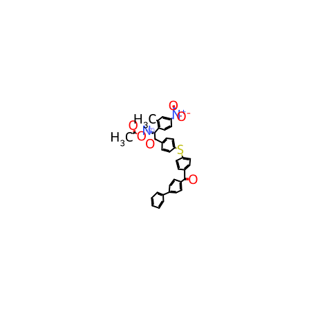 CC(=O)O/N=C(\C(=O)c1ccc(Sc2ccc(C(=O)c3ccc(-c4ccccc4)cc3)cc2)cc1)c1ccc([N+](=O)[O-])cc1C